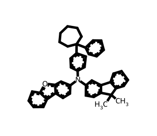 CC1(C)c2ccccc2-c2cc(N(c3ccc(C4(c5ccccc5)CCCCCC4)cc3)c3ccc4c(c3)oc3ccccc34)ccc21